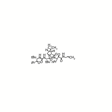 C=CCNC(=O)C(=O)C(CCC)NC(=O)[C@@H]1[C@@H]2[C@H](CN1C(=O)[C@@H](NC(=O)N[C@H](C(=O)C(C)C)C(C)(C)C)C(C)(C)C)C2(C)C